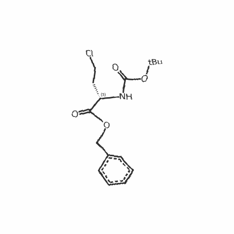 CC(C)(C)OC(=O)N[C@@H](CCCl)C(=O)OCc1ccccc1